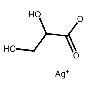 O=C([O-])C(O)CO.[Ag+]